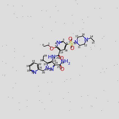 CCOc1ncc(S(=O)(=O)N2CCN(CC)CC2)cc1C(=O)Nc1c(C(N)=O)nn(Cc2ccccn2)c1CC